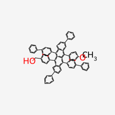 COc1ccc(-c2c3cc(-c4ccccc4)ccc3c(-c3ccc(-c4ccccc4)cc3)c3c(-c4ccc(CO)cc4)c4cc(-c5ccccc5)ccc4c(-c4ccc(-c5ccccc5)cc4)c23)cc1